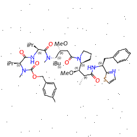 CC[C@H](C)[C@@H]([C@@H](CC(=O)N1CCC[C@H]1[C@H](OC)[C@@H](C)C(=O)N[C@@H](Cc1ccccc1)c1nccs1)OC)N(C)C(=O)[C@@H](NC(=O)[C@H](C(C)C)N(C)C(=O)OCc1ccc(C)cc1)C(C)C